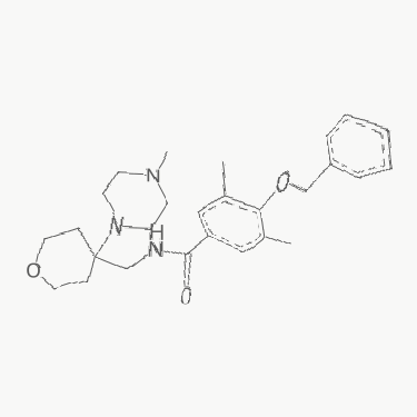 Cc1cc(C(=O)NCC2(N3CCN(C)CC3)CCOCC2)cc(C)c1OCc1ccccc1